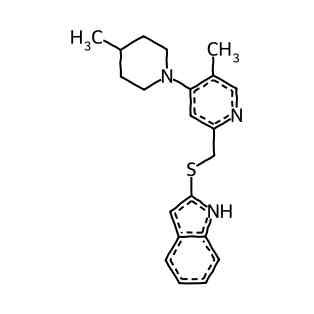 Cc1cnc(CSc2cc3ccccc3[nH]2)cc1N1CCC(C)CC1